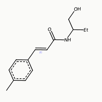 CCC(CO)NC(=O)/C=C/c1ccc(C)cc1